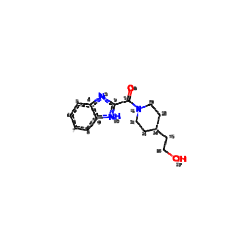 O=C(c1nc2ccccc2[nH]1)N1CCC(CCO)CC1